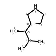 C[C@@H]([C@H]1CCNC1)N(C)C